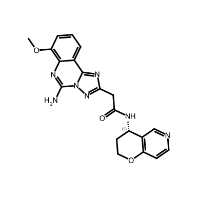 COc1cccc2c1nc(N)n1nc(CC(=O)N[C@H]3CCOc4ccncc43)nc21